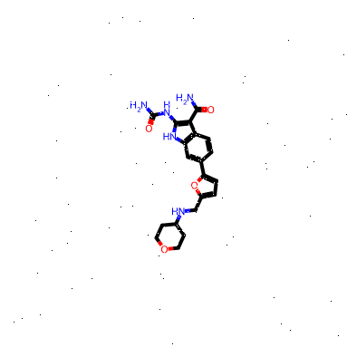 NC(=O)Nc1[nH]c2cc(-c3ccc(CNC4CCOCC4)o3)ccc2c1C(N)=O